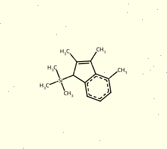 CC1=C(C)C([Si](C)(C)C)c2cccc(C)c21